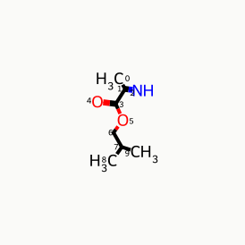 CC(=N)C(=O)OCC(C)C